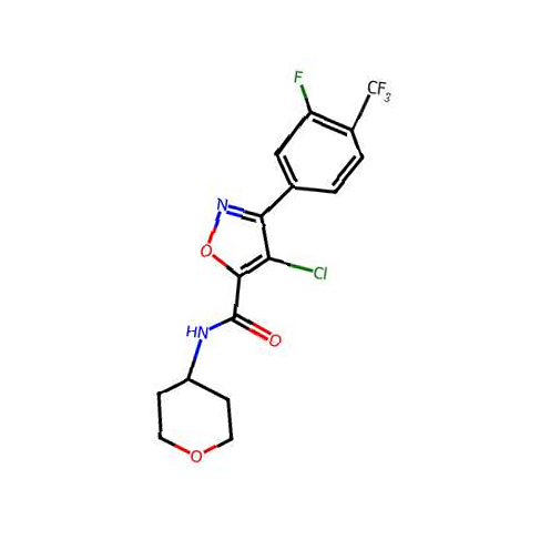 O=C(NC1CCOCC1)c1onc(-c2ccc(C(F)(F)F)c(F)c2)c1Cl